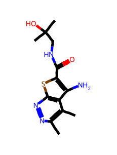 Cc1nnc2sc(C(=O)NCC(C)(C)O)c(N)c2c1C